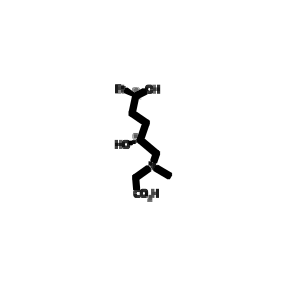 CC[C@@H](O)CC[C@@H](O)CN(C)CC(=O)O